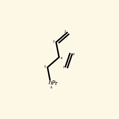 C=C.C=CCCCCC